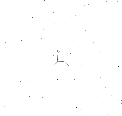 CC1C=CC1C.O